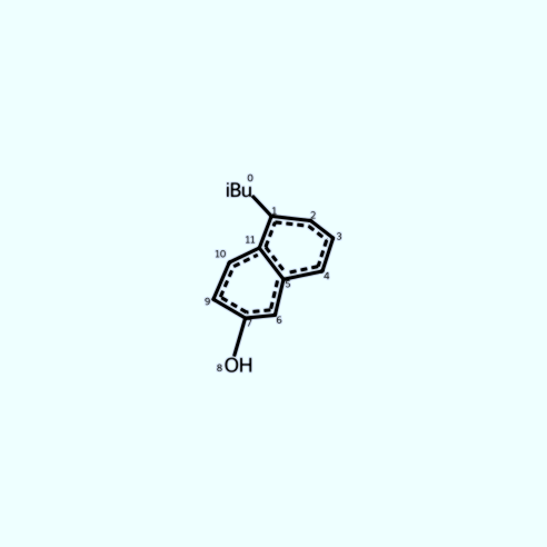 CCC(C)c1cccc2cc(O)ccc12